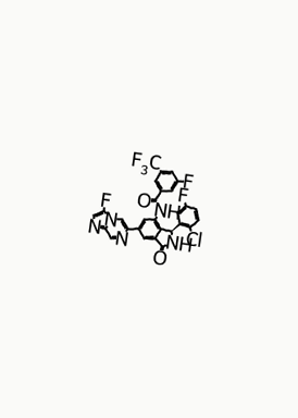 O=C(Nc1cc(-c2cn3c(F)cnc3cn2)cc2c1[C@@H](c1cc(F)ccc1Cl)NC2=O)c1cc(F)cc(C(F)(F)F)c1